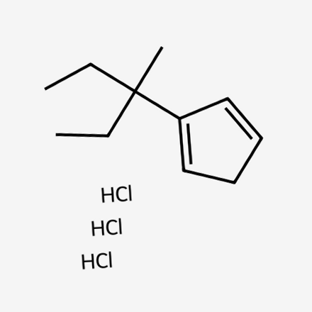 CCC(C)(CC)C1=CCC=C1.Cl.Cl.Cl